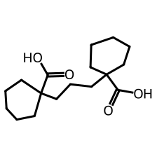 O=C(O)C1(CCCC2(C(=O)O)CCCCC2)CCCCC1